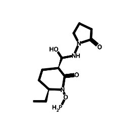 CC[C@H]1CC[C@@H](C(O)NN2CCCC2=O)C(=O)N1OP